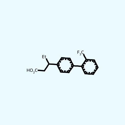 CCC(CC(=O)O)c1ccc(-c2ccccc2C(F)(F)F)cc1